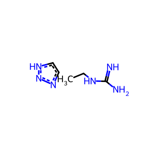 CCNC(=N)N.c1c[nH]nn1